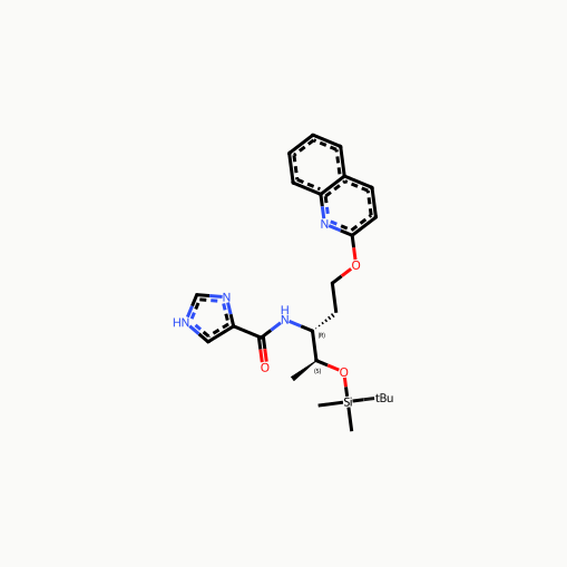 C[C@H](O[Si](C)(C)C(C)(C)C)[C@@H](CCOc1ccc2ccccc2n1)NC(=O)c1c[nH]cn1